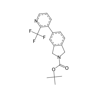 CC(C)(C)OC(=O)N1Cc2ccc(-c3cccnc3C(F)(F)F)cc2C1